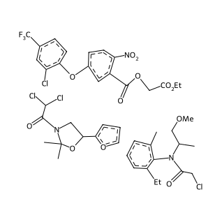 CC1(C)OC(c2ccco2)CN1C(=O)C(Cl)Cl.CCOC(=O)COC(=O)c1cc(Oc2ccc(C(F)(F)F)cc2Cl)ccc1[N+](=O)[O-].CCc1cccc(C)c1N(C(=O)CCl)C(C)COC